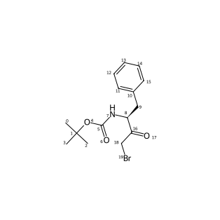 CC(C)(C)OC(=O)N[C@@H](Cc1ccccc1)C(=O)CBr